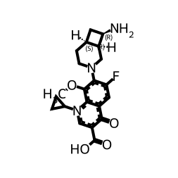 COc1c(N2CC[C@H]3C[C@@H](N)[C@H]3C2)c(F)cc2c(=O)c(C(=O)O)cn(C3CC3)c12